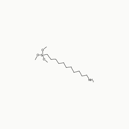 CO[Si](CCCCCCCCCCCN)(OC)OC